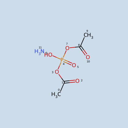 CC(=O)OP(=O)(O)OC(C)=O.N